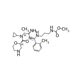 COC(=O)NCCCN/C(=N\C(=N)[C@@H](C)N(C(=O)[C@H]1CNCCO1)C1CC1)c1ccccc1C